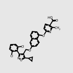 Cc1nc(Oc2cccc3cc(OCc4c(-c5c(Cl)cccc5Cl)noc4C4CC4)ccc23)ccc1C(=O)O